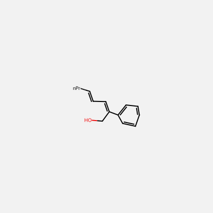 CCCC=CC=C(CO)c1ccccc1